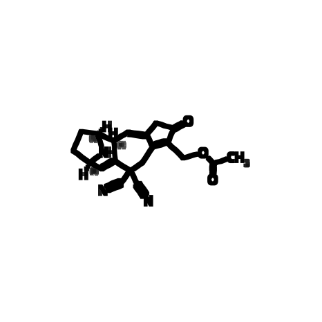 CC(=O)OCC1=C2CC(C#N)(C#N)C3=C[C@H]4CC[C@H](N4)[C@@H]3C=C2CC1=O